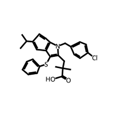 CC(C)c1ccc2c(c1)c(Sc1ccccc1)c(CC(C)(C)C(=O)O)n2Cc1ccc(Cl)cc1